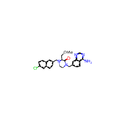 COCC1C(=O)N(Cc2ccc3c(N)ncnc3c2)CCN1Cc1ccc2cc(Cl)ccc2c1